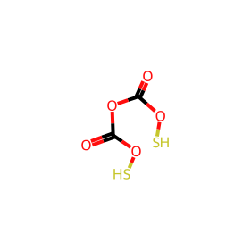 O=C(OS)OC(=O)OS